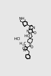 Cc1onc(Cc2ccccc2)c1C(=O)N1CCC(O)(Cn2cnn3c(-c4ccc(CN)cc4)cnc3c2=O)CC1.Cl